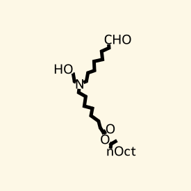 CCCCCCCCC(C)OC(=O)CCCCCCCN(CCO)CCCCCCCC=O